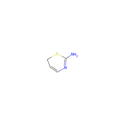 NC1=NC=CCS1